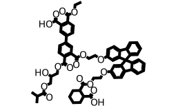 CCOC(=O)c1ccc(-c2ccc(C(=O)OCC(O)COC(=O)C(C)C)c(C(=O)OCCOc3ccc4c(c3)C3(c5ccccc5-4)c4ccccc4-c4ccc(OCCOC(=O)C5CCCCC5C(=O)O)cc43)c2)cc1C(=O)O